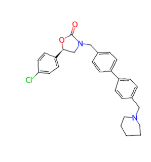 O=C1O[C@H](c2ccc(Cl)cc2)CN1Cc1ccc(-c2ccc(CN3CCCCC3)cc2)cc1